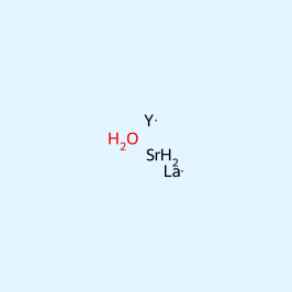 O.[La].[SrH2].[Y]